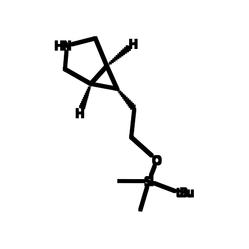 CC(C)(C)[Si](C)(C)OCC[C@@H]1[C@H]2CNC[C@@H]12